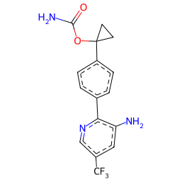 NC(=O)OC1(c2ccc(-c3ncc(C(F)(F)F)cc3N)cc2)CC1